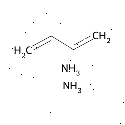 C=CC=C.N.N